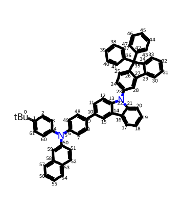 CC(C)(C)c1ccc(N(c2ccc(-c3ccc4c(c3)c3ccccc3n4-c3ccc4c(c3)-c3ccccc3C4(c3ccccc3)c3ccccc3)cc2)c2ccc3ccccc3c2)cc1